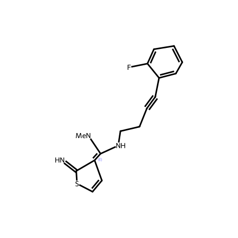 CN/C(NCCC#Cc1ccccc1F)=C1/C=CSC1=N